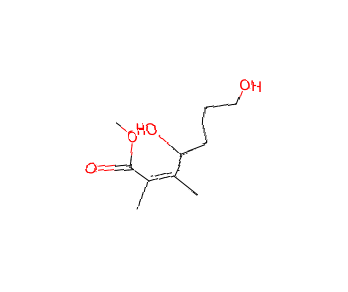 COC(=O)C(C)=C(C)C(O)CCCO